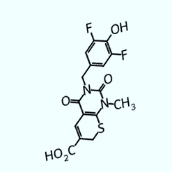 Cn1c2c(c(=O)n(Cc3cc(F)c(O)c(F)c3)c1=O)C=C(C(=O)O)CS2